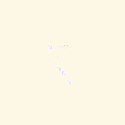 COC(=O)N1CCC[C@H]1CCOc1ccc2ncc(-c3cc4ccccc4o3)n2n1